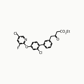 CCOC(=O)CC(=O)Cc1cccc(-c2ccc(Oc3ncc(Cl)cc3F)cc2Cl)c1